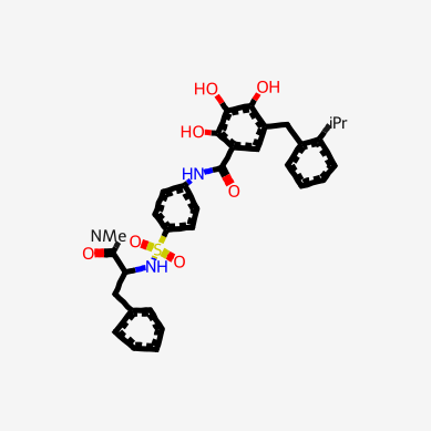 CNC(=O)C(Cc1ccccc1)NS(=O)(=O)c1ccc(NC(=O)c2cc(Cc3ccccc3C(C)C)c(O)c(O)c2O)cc1